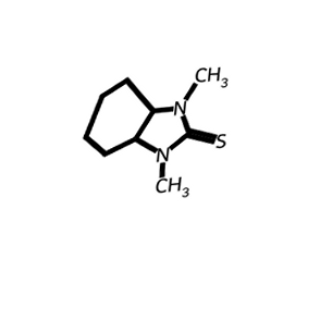 CN1C(=S)N(C)C2CCCCC21